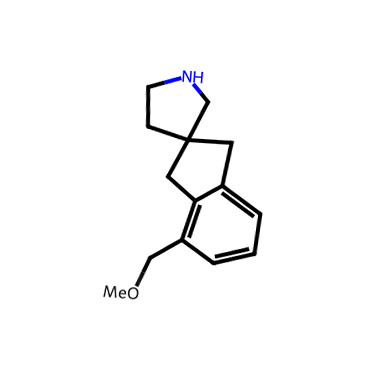 COCc1cccc2c1CC1(CCNC1)C2